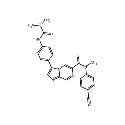 C[C@@H](N)C(=O)Nc1ccc(-c2cnc3cnc(C(=O)N(C)c4ccc(C#N)cc4)cn23)cc1